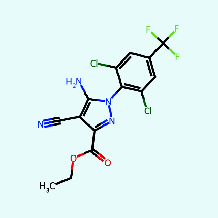 CCOC(=O)c1nn(-c2c(Cl)cc(C(F)(F)F)cc2Cl)c(N)c1C#N